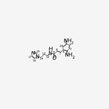 Nc1ccc(N)c(C=CC(=O)NCCCn2ccnc2)c1